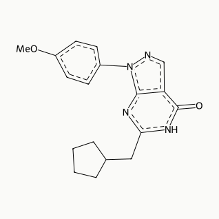 COc1ccc(-n2ncc3c(=O)[nH]c(CC4CCCC4)nc32)cc1